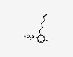 C=CCCCCc1cc(C)ccc1S(=O)(=O)O